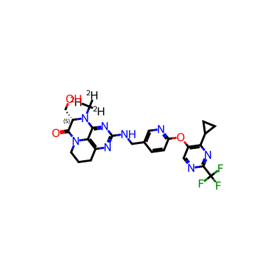 [2H]C([2H])([2H])N1c2nc(NCc3ccc(Oc4cnc(C(F)(F)F)nc4C4CC4)nc3)nc3c2N(CCC3)C(=O)[C@@H]1CO